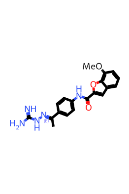 COc1cccc2cc(C(=O)Nc3ccc(/C(C)=N/NC(=N)N)cc3)oc12